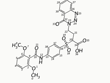 COc1cccc(OC)c1C(=O)Nc1ccc(S(=O)(=O)C(CCn2nnc3ccccc3c2=O)C(=O)O)cc1